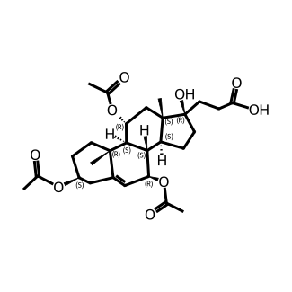 CC(=O)O[C@H]1CC[C@@]2(C)C(=C[C@H](OC(C)=O)[C@@H]3[C@@H]2[C@H](OC(C)=O)C[C@@]2(C)[C@H]3CC[C@@]2(O)CCC(=O)O)C1